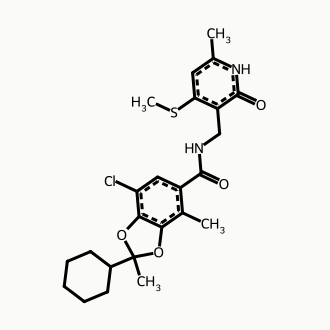 CSc1cc(C)[nH]c(=O)c1CNC(=O)c1cc(Cl)c2c(c1C)OC(C)(C1CCCCC1)O2